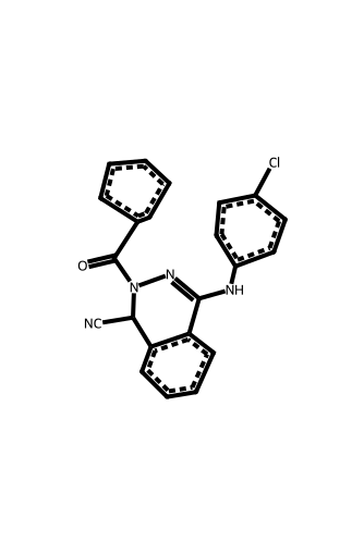 N#CC1c2ccccc2C(Nc2ccc(Cl)cc2)=NN1C(=O)c1ccccc1